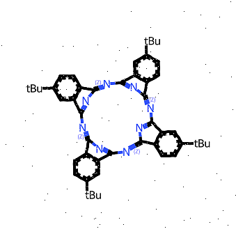 CC(C)(C)c1ccc2c(c1)C1=NC/2=N\C2=NC(=N\C3=NC(=N\C4=NC(=N\1)/c1ccc(C(C)(C)C)cc14)/c1ccc(C(C)(C)C)cc13)/c1ccc(C(C)(C)C)cc12